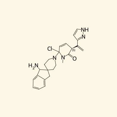 C=C(c1cc[nH]n1)[C@@H]1C=CC(Cl)(N2CCC3(CC2)Cc2ccccc2C3N)N(C)C1=O